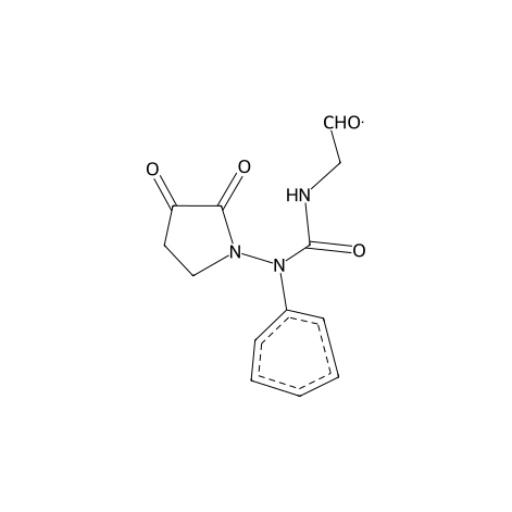 O=[C]CNC(=O)N(c1ccccc1)N1CCC(=O)C1=O